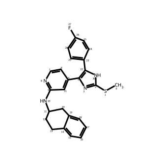 CSc1nc(-c2ccnc(NC3CCc4ccccc4C3)c2)c(-c2ccc(F)cc2)[nH]1